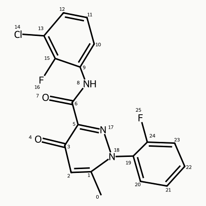 Cc1cc(=O)c(C(=O)Nc2cccc(Cl)c2F)nn1-c1ccccc1F